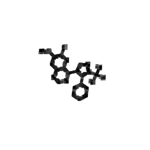 [2H]C([2H])([2H])n1ncc(-c2ncnc3cc(OC)c(Cl)nc23)c1-c1ccccc1